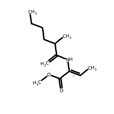 C=C(N/C(=C\C)C(=O)OC)C(C)CCCC